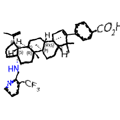 C=C(C)[C@@H]1CC[C@]2(NCc3ncccc3C(F)(F)F)CC[C@]3(C)[C@H](CC[C@@H]4[C@@]5(C)CC=C(c6ccc(C(=O)O)cc6)C(C)(C)[C@@H]5CC[C@]43C)[C@@H]12